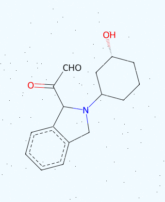 O=CC(=O)C1c2ccccc2CN1C1CCC[C@@H](O)C1